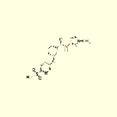 Cn1ccc(NC(=O)c2cccc(Oc3ccc(S(C)(=O)=O)nc3)c2)n1